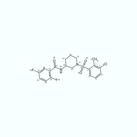 Cc1c(Cl)cccc1S(=O)(=O)N1CCCC(NC(=O)c2cc(F)ccc2F)C1